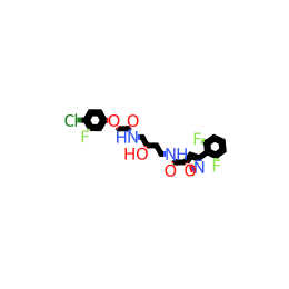 O=C(COc1ccc(Cl)c(F)c1)NCC(O)CCNC(=O)c1cc(-c2c(F)cccc2F)no1